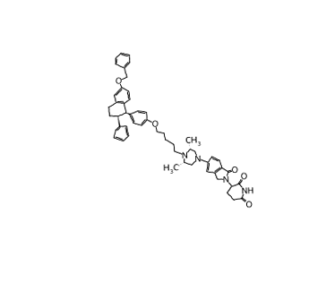 C[C@@H]1CN(c2ccc3c(c2)CN(C2CCC(=O)NC2=O)C3=O)C[C@H](C)N1CCCCCOc1ccc([C@@H]2c3ccc(OCc4ccccc4)cc3CC[C@@H]2c2ccccc2)cc1